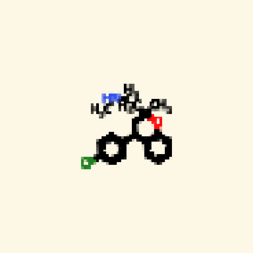 CC1(C)CC(c2ccc(Cl)cc2)c2ccccc2O1.CNC